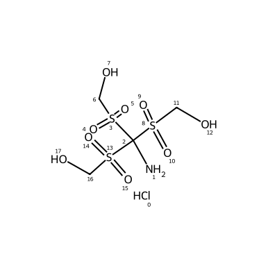 Cl.NC(S(=O)(=O)CO)(S(=O)(=O)CO)S(=O)(=O)CO